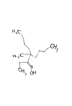 CCCCC(C)(CCCC)C(CC)=NO